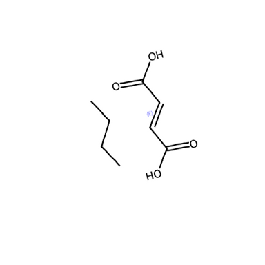 CCCC.O=C(O)/C=C/C(=O)O